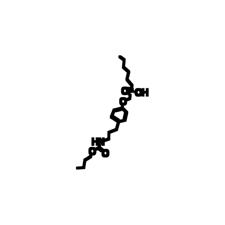 CCCCCC[P@@](=O)(O)COc1ccc(CCCNC(=O)OCCCC)cc1